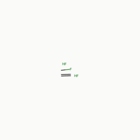 C=C.CF.F.F